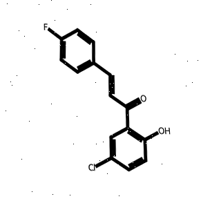 O=C(C=Cc1ccc(F)cc1)c1cc(Cl)ccc1O